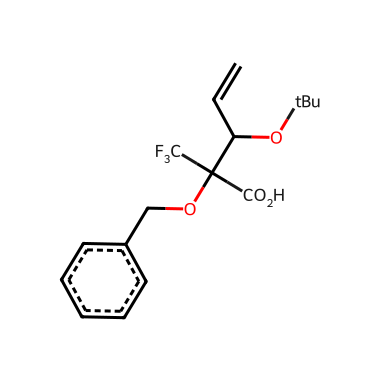 C=CC(OC(C)(C)C)C(OCc1ccccc1)(C(=O)O)C(F)(F)F